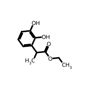 CCOC(=O)C(C)c1cccc(O)c1O